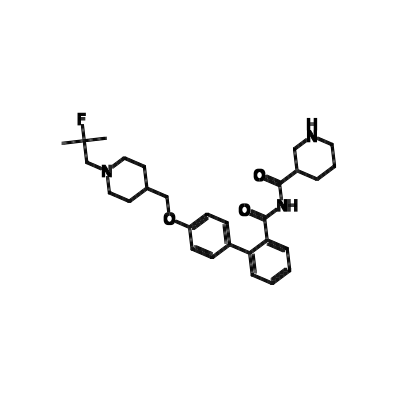 CC(C)(F)CN1CCC(COc2ccc(-c3ccccc3C(=O)NC(=O)C3CCCNC3)cc2)CC1